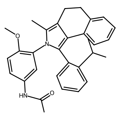 COc1ccc(NC(C)=O)cc1-n1c(C)c2c(c1-c1ccccc1C(C)C)-c1ccccc1CC2